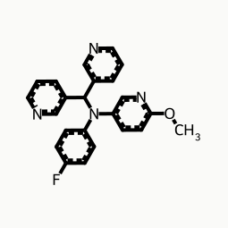 COc1ccc(N(c2ccc(F)cc2)C(c2cccnc2)c2cccnc2)cn1